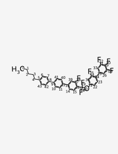 CCCCCc1ccc(-c2ccc(-c3ccc(C(F)(F)Oc4ccc(-c5cc(F)c(F)c(F)c5)c(F)c4)c(F)c3)cc2)cc1